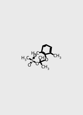 Cc1cccc(C)c1OC(C)(C)OS(C)(=O)=O